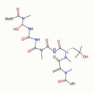 C=C(C(=O)N(C)[C@@H](CC(C)(C)O)C(=O)NC(=O)N(C)C(=O)NC(=O)NC(O)N(C)C(=O)NC)N(C)C(=O)CCC